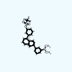 CN(C)c1cccc(-c2ccc3c(-c4cccc(OS(=O)(=O)C(F)(F)F)c4)cccc3c2)c1